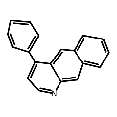 c1ccc(-c2ccnc3cc4ccccc4cc23)cc1